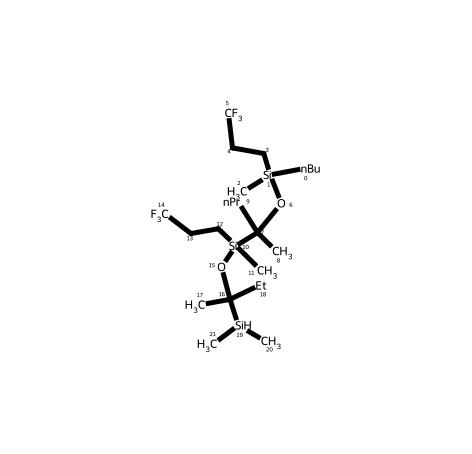 CCCC[Si](C)(CCC(F)(F)F)OC(C)(CCC)[Si](C)(CCC(F)(F)F)OC(C)(CC)[SiH](C)C